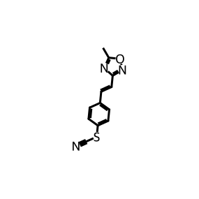 Cc1nc(/C=C/c2ccc(SC#N)cc2)no1